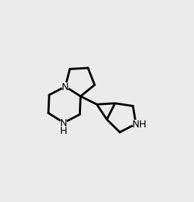 C1CN2CCNCC2(C2C3CNCC32)C1